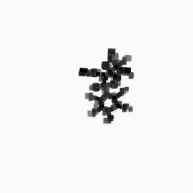 CON(S(=O)(=O)c1c(F)c(F)c(F)c(F)c1I)S(=O)(=O)C(C)(P)I